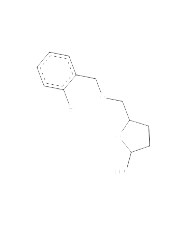 CC1CCC(COCc2ccccc2Br)O1